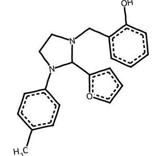 Cc1ccc(N2CCN(Cc3ccccc3O)C2c2ccco2)cc1